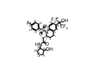 O=C(C[C@@H]1CCc2cc(C(O)(C(F)(F)F)C(F)(F)F)ccc2N1S(=O)(=O)c1ccc(F)cc1)NC1CSCC1O